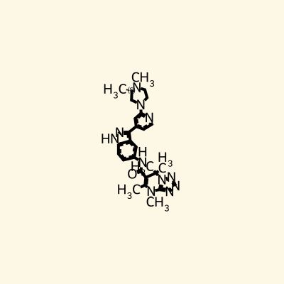 CC1=C(C(=O)Nc2ccc3[nH]nc(-c4ccnc(N5CCN(C)[C@@H](C)C5)c4)c3c2)C(C)(C)n2nnnc2N1C